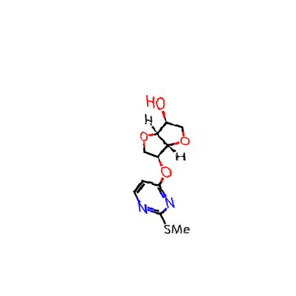 CSc1nccc(O[C@H]2CO[C@H]3[C@@H]2OC[C@@H]3O)n1